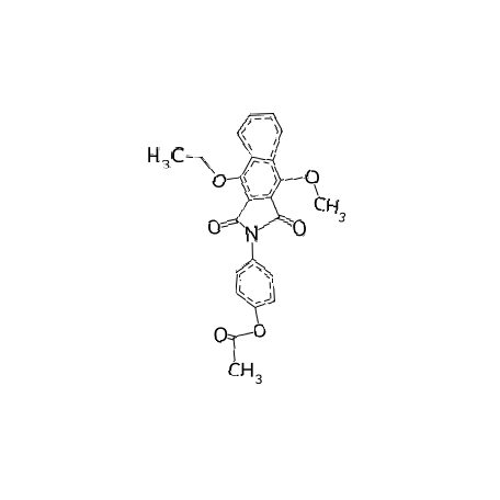 CCOc1c2c(c(OC)c3ccccc13)C(=O)N(c1ccc(OC(C)=O)cc1)C2=O